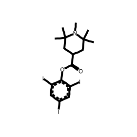 CN1C(C)(C)CC(C(=O)Oc2c(I)cc(I)cc2I)CC1(C)C